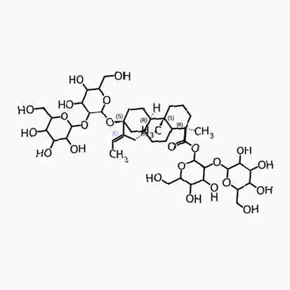 C/C=C1\C[C@@]23CCC4[C@](C)(C(=O)OC5OC(CO)C(O)C(O)C5OC5OC(CO)C(O)C(O)C5O)CCC[C@@]4(C)[C@@H]2CC[C@]1(OC1OC(CO)C(O)C(O)C1OC1OC(CO)C(O)C(O)C1O)C3